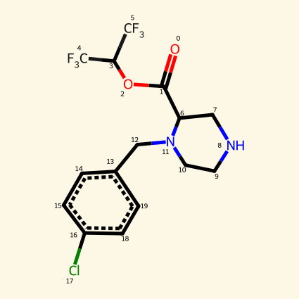 O=C(OC(C(F)(F)F)C(F)(F)F)C1CNCCN1Cc1ccc(Cl)cc1